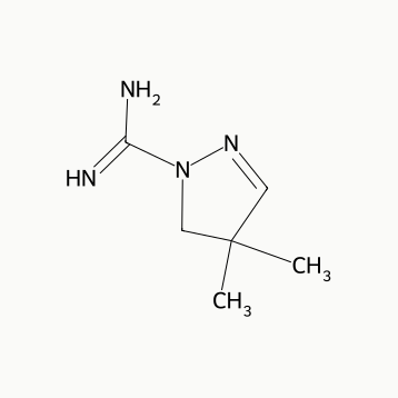 CC1(C)C=NN(C(=N)N)C1